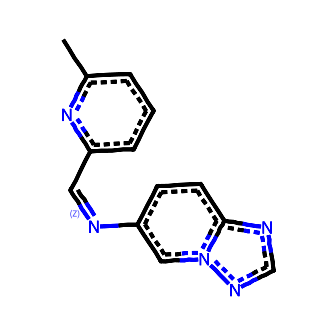 Cc1cccc(/C=N\c2ccc3ncnn3c2)n1